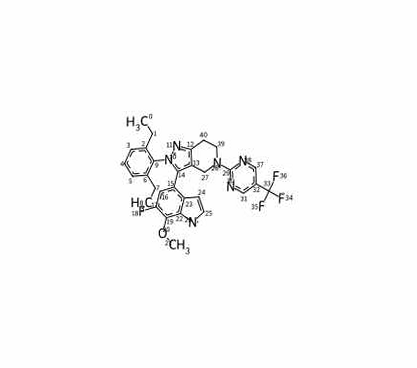 CCc1cccc(CC)c1-n1nc2c(c1-c1cc(F)c(OC)c3c1C=C[N]3)CN(c1ncc(C(F)(F)F)cn1)CC2